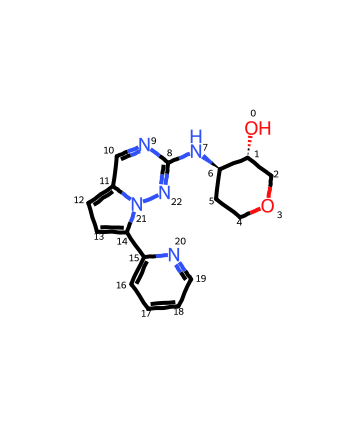 O[C@@H]1COCC[C@H]1Nc1ncc2ccc(-c3ccccn3)n2n1